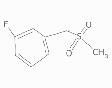 CS(=O)(=O)[CH]c1cccc(F)c1